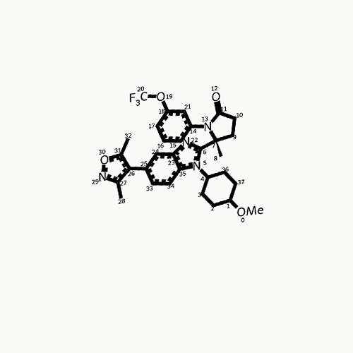 COC1CCC(n2c([C@@]3(C)CCC(=O)N3c3cccc(OC(F)(F)F)c3)nc3cc(-c4c(C)noc4C)ccc32)CC1